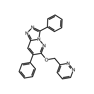 c1ccc(-c2cc3nnc(-c4ccccc4)n3nc2OCc2cccnn2)cc1